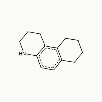 c1cc2c(c3c1CCCC3)CCCN2